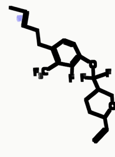 C=CC1CCC(C(F)(F)Oc2ccc(CC/C=C/C)c(C(F)(F)F)c2F)CO1